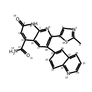 Cc1ncc(-c2nc3[nH]c(=O)cc(C(N)=O)c3cc2-c2ccc3ncccc3c2)s1